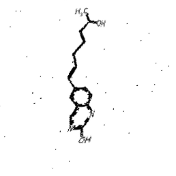 CC(O)CCC/C=C/c1ccc2nc(O)ncc2c1